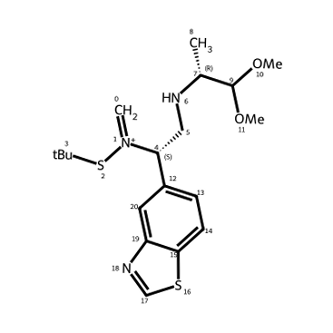 C=[N+](SC(C)(C)C)[C@H](CN[C@H](C)C(OC)OC)c1ccc2scnc2c1